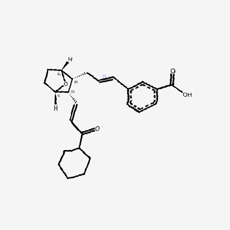 O=C(O)c1cccc(/C=C/C[C@@H]2[C@H](C=CC(=O)C3CCCCC3)[C@@H]3CC[C@H]2O3)c1